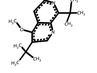 COc1c(C(C)(C)C)cnc2c(C(C)(C)C)nccc12